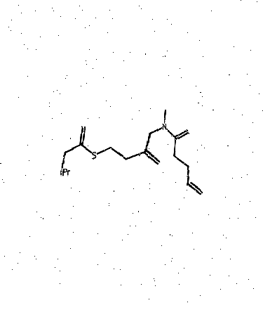 C=CCCC(=C)N(C)CC(=C)CCSC(=C)CC(C)C